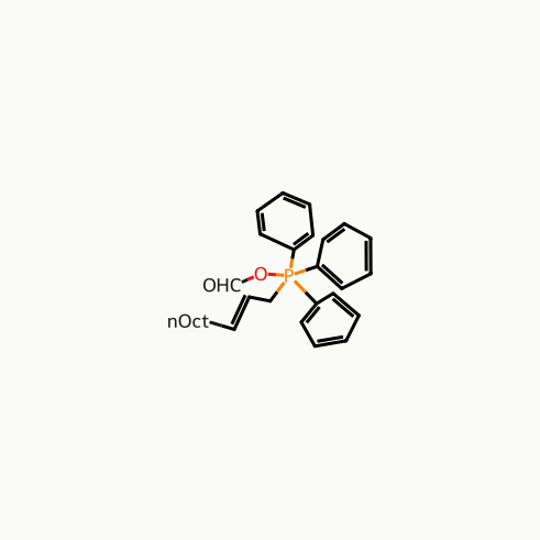 CCCCCCCCC=CCP(OC=O)(c1ccccc1)(c1ccccc1)c1ccccc1